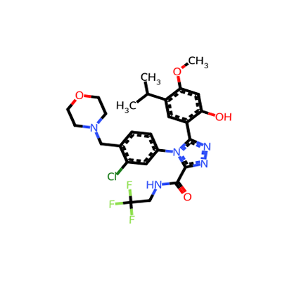 COc1cc(O)c(-c2nnc(C(=O)NCC(F)(F)F)n2-c2ccc(CN3CCOCC3)c(Cl)c2)cc1C(C)C